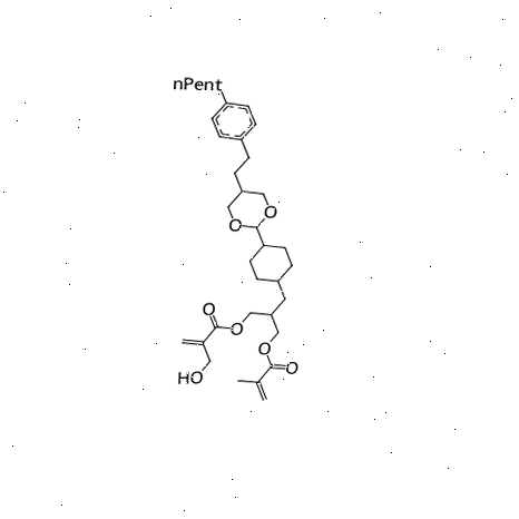 C=C(C)C(=O)OCC(COC(=O)C(=C)CO)CC1CCC(C2OCC(CCc3ccc(CCCCC)cc3)CO2)CC1